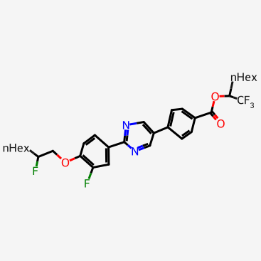 CCCCCCC(F)COc1ccc(-c2ncc(-c3ccc(C(=O)OC(CCCCCC)C(F)(F)F)cc3)cn2)cc1F